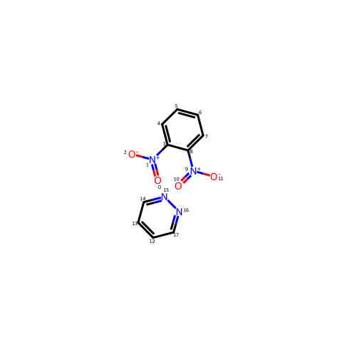 O=[N+]([O-])c1ccccc1[N+](=O)[O-].c1ccnnc1